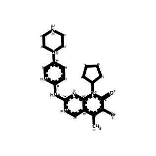 Cc1c(Br)c(=O)n(C2CCCC2)c2nc(Nc3ccc(N4CCNCC4)cn3)ncc12